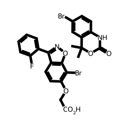 CC1(C)OC(=O)Nc2ccc(Br)cc21.O=C(O)COc1ccc2c(-c3ccccc3F)noc2c1Br